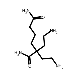 NCCC(CCN)(CCCC(N)=O)C(N)=O